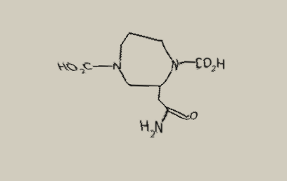 NC(=O)C1CN(C(=O)O)CCN1C(=O)O